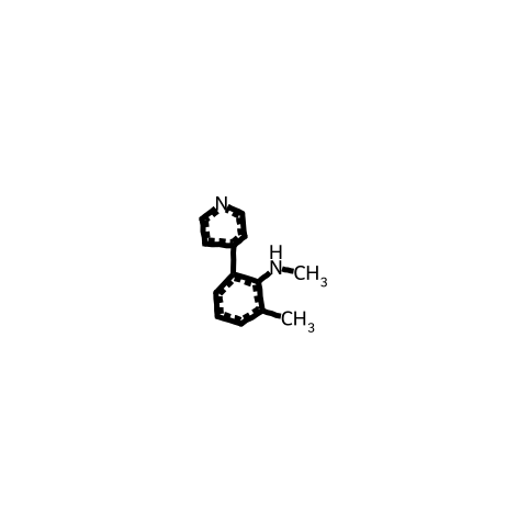 CNc1c(C)cccc1-c1ccncc1